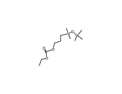 CCOC(=O)OCCC[Si](C)(C)O[Si](C)(C)C